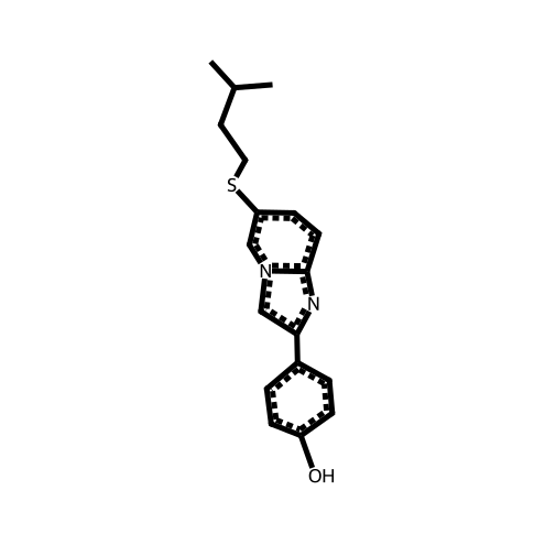 CC(C)CCSc1ccc2nc(-c3ccc(O)cc3)cn2c1